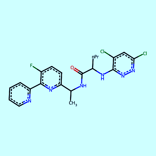 CCCC(Nc1nnc(Cl)cc1Cl)C(=O)NC(C)c1ccc(F)c(-c2ccccn2)n1